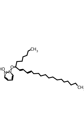 CCCCCCCCCCCCC/C=C/C=C/C(CCCCCC)ON1C=CC=CN1O